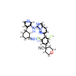 N#CC1(c2cc(F)c(-c3ccc4cnc(Nc5cnccc5[C@@H]5CCC[C@H](N)C5)n4n3)c(F)c2)CCOCC1